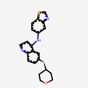 c1cc(Nc2ccc3scnc3c2)c2cc(SC3CCOCC3)ccc2n1